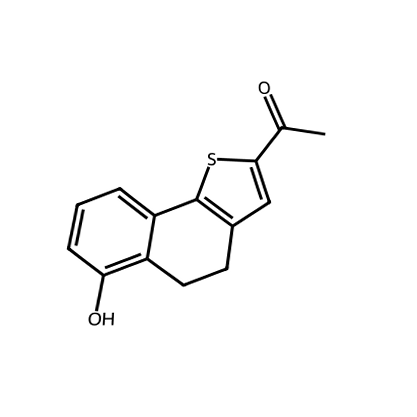 CC(=O)c1cc2c(s1)-c1cccc(O)c1CC2